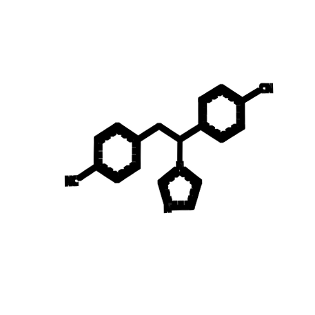 N#Cc1ccc(CC(c2ccc(C#N)cc2)n2ccnc2)cc1